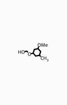 COC1CC(C)CC(OCO)C1